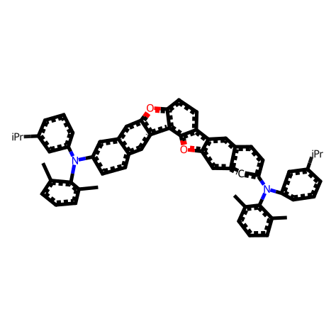 Cc1cccc(C)c1N(c1cccc(C(C)C)c1)c1ccc2cc3c(cc2c1)oc1c3ccc2oc3cc4cc(N(c5cccc(C(C)C)c5)c5c(C)cccc5C)ccc4cc3c21